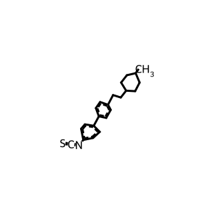 CC1CCC(CCc2ccc(-c3ccc(N=C=S)cc3)cc2)CC1